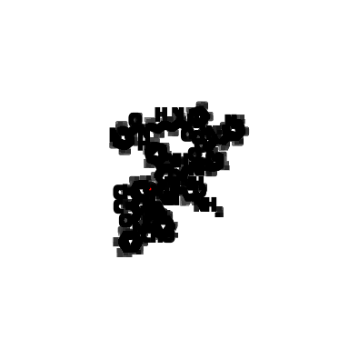 CC(C)C[C@]([C]=O)(c1ccccc1)N(C(=O)[C@H](NC(=O)[C@H](C)NC(=O)[C@@H](Cc1c[nH]c2ccccc12)NC(=O)[C@H](CC(N)=O)NC(=O)[C@H](C)NC(=O)[C@@H]1CCCN1C(=O)[C@H](Cc1cccnc1)NC(=O)[C@@H]1CCCN1C(=O)[C@H](N)CCCCNC(=O)c1cccnc1)C(Cl)c1cnccc1Cl)c1ccccc1